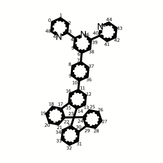 c1ccc(-c2cc(-c3ccc(-c4ccc5c(c4)-c4ccccc4C54c5ccccc5-c5ccccc54)cc3)cc(-c3ccccn3)n2)nc1